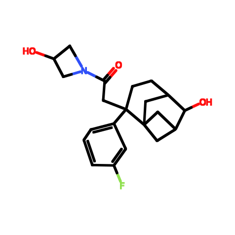 O=C(CC1(c2cccc(F)c2)CCC2CC13CC(C3)C2O)N1CC(O)C1